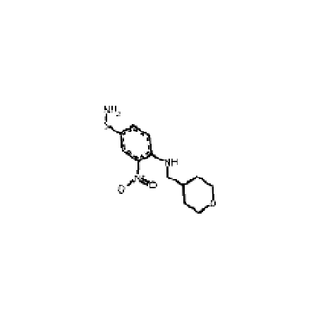 NSc1ccc(NCC2CCOCC2)c([N+](=O)[O-])c1